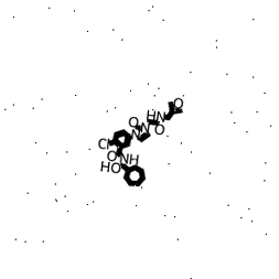 O=C(Cn1ccn(-c2ccc(Cl)c(C(=O)NC(O)C3CCCCCC3)c2)c1=O)NCC1COC1